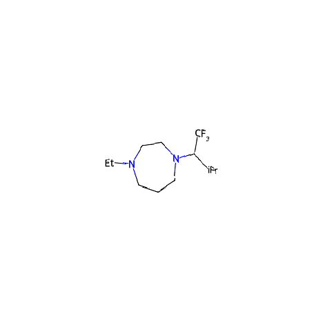 CCN1CCCN(C(C(C)C)C(F)(F)F)CC1